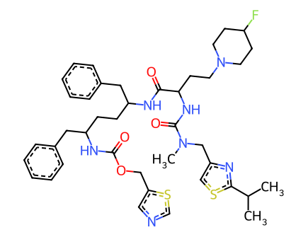 CC(C)c1nc(CN(C)C(=O)NC(CCN2CCC(F)CC2)C(=O)NC(CCC(Cc2ccccc2)NC(=O)OCc2cncs2)Cc2ccccc2)cs1